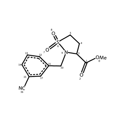 COC(=O)C1CCS(=O)(=O)N1Cc1cccc(C#N)c1